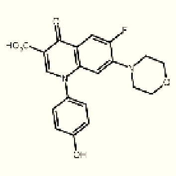 O=C(O)c1cn(-c2ccc(O)cc2)c2cc(N3CCOCC3)c(F)cc2c1=O